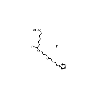 CCCCCCCCCCCCCCCC(CC)OCCCOCCCC[n+]1ccsc1.[I-]